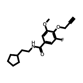 C#CCOc1c(F)cc(C(=O)NCCC2CCCC2)cc1OC